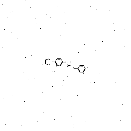 O=C(Nc1ccc(N2CC=CC2)c(F)c1)OCc1ccccc1